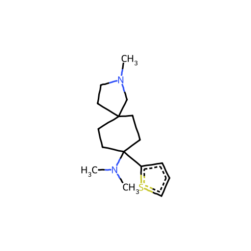 CN1CCC2(CCC(c3cccs3)(N(C)C)CC2)C1